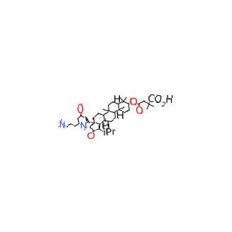 CC(C)C1=C2[C@H]3CC[C@@H]4[C@@]5(C)CC[C@H](OC(=O)CC(C)(C)C(=O)O)C(C)(C)[C@@H]5CC[C@@]4(C)[C@]3(C)CC[C@@]2(c2cc(=O)cc(CCCN(C)C)n2C)CC1=O